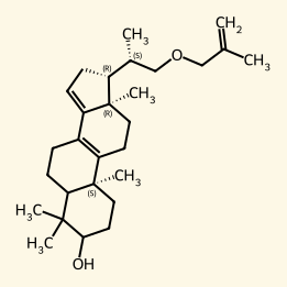 C=C(C)COC[C@@H](C)[C@H]1CC=C2C3=C(CC[C@@]21C)[C@@]1(C)CCC(O)C(C)(C)C1CC3